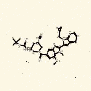 COc1cc(C(=O)N2C[C@@H](C#N)C[C@@H](NC(=O)OC(C)(C)C)C2)cc2nc(-c3cc4cccnc4n3CC3CC3)n(C)c12